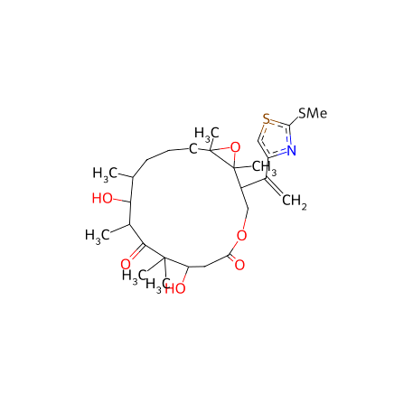 C=C(c1csc(SC)n1)C1COC(=O)CC(O)C(C)(C)C(=O)C(C)C(O)C(C)CCCC2(C)OC12C